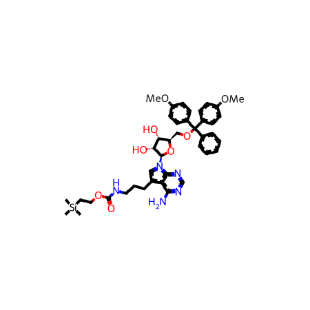 COc1ccc(C(OC[C@H]2O[C@@H](n3cc(CCCNC(=O)OCC[Si](C)(C)C)c4c(N)ncnc43)[C@H](O)[C@@H]2O)(c2ccccc2)c2ccc(OC)cc2)cc1